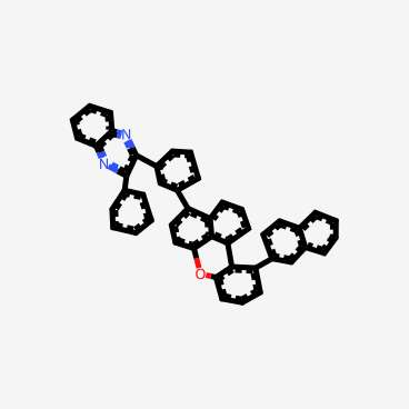 c1ccc(-c2nc3ccccc3nc2-c2cccc(-c3ccc4c5c(cccc35)-c3c(cccc3-c3ccc5ccccc5c3)O4)c2)cc1